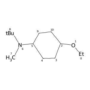 CCOC1CCC(N(C)C(C)(C)C)CC1